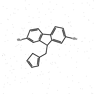 CC(C)(C)c1ccc2c(c1)C(CC1=CC=CC1)c1cc(C(C)(C)C)ccc1-2